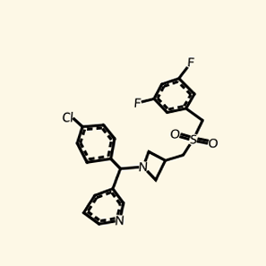 O=S(=O)(Cc1cc(F)cc(F)c1)CC1CN(C(c2ccc(Cl)cc2)c2cccnc2)C1